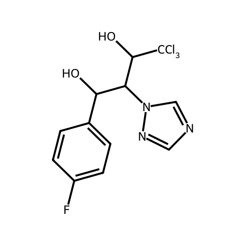 OC(c1ccc(F)cc1)C(C(O)C(Cl)(Cl)Cl)n1cncn1